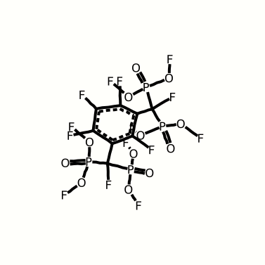 O=P(OF)(OF)C(F)(c1c(F)c(F)c(F)c(C(F)(P(=O)(OF)OF)P(=O)(OF)OF)c1F)P(=O)(OF)OF